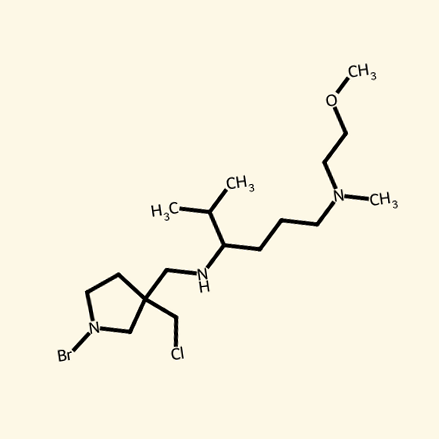 COCCN(C)CCCC(NCC1(CCl)CCN(Br)C1)C(C)C